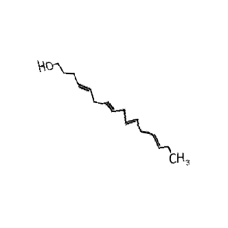 CC/C=C/C/C=C/C/C=C/C/C=C/CCCO